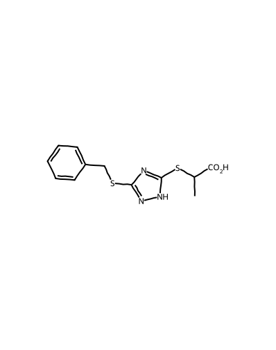 CC(Sc1nc(SCc2ccccc2)n[nH]1)C(=O)O